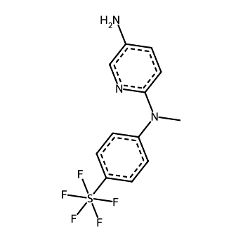 CN(c1ccc(S(F)(F)(F)(F)F)cc1)c1ccc(N)cn1